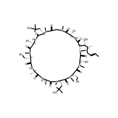 C/C=C/C[C@@H](C)[C@@H](O)[C@H]1C(=O)N[C@@H](CC)C(=O)N(C)CC(=O)N(C)[C@@H](CC(C)(C)O)C(=O)N[C@@H](C(C)C)C(=O)N(C)[C@@H](CC(C)C)C(=O)N[C@@H](C)C(=O)N[C@H](C)C(=O)N(C)[C@@H](CC(C)(C)O)C(=O)N(C)[C@@H](CC(C)C)C(=O)N(C)[C@@H](C(C)C)C(=O)N1C